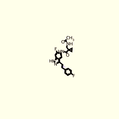 CC(=O)NCC1(C(=O)Nc2cc3c(/C=C/c4ccc(F)cc4)n[nH]c3cc2F)CC1